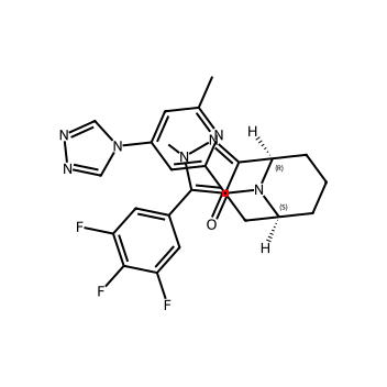 Cc1cc(-n2cnnc2)cc(C(=O)N2[C@H]3CCC[C@@H]2c2nn(C)c(-c4cc(F)c(F)c(F)c4)c2C3)n1